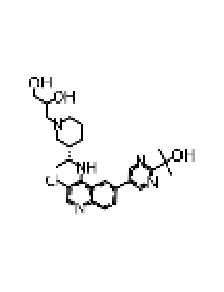 CC(Nc1c(Cl)cnc2ccc(-c3cnc(C(C)(C)O)nc3)cc12)[C@H]1CCCN(CC(O)CO)C1